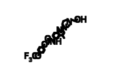 Cc1cc(N2CCCN(CCO)CC2)nc2ccc(NC(=O)COc3ccc(OC(F)(F)F)cc3)cc12